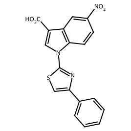 O=C(O)c1cn(-c2nc(-c3ccccc3)cs2)c2ccc([N+](=O)[O-])cc12